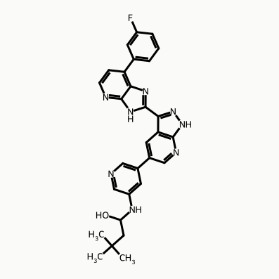 CC(C)(C)CC(O)Nc1cncc(-c2cnc3[nH]nc(-c4nc5c(-c6cccc(F)c6)ccnc5[nH]4)c3c2)c1